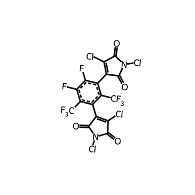 O=C1C(Cl)=C(c2c(F)c(F)c(C(F)(F)F)c(C3=C(Cl)C(=O)N(Cl)C3=O)c2C(F)(F)F)C(=O)N1Cl